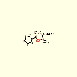 CC(=O)NC(C(=O)O)C(C)OCC1CCCCC1